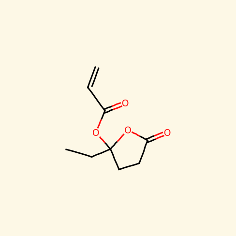 C=CC(=O)OC1(CC)CCC(=O)O1